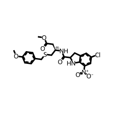 COC(=O)C[C@H](CSCc1ccc(OC)cc1)NC(=O)C1Cc2cc(Cl)cc([N+](=O)[O-])c2N1